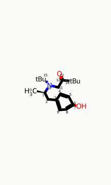 C[C@H](Cc1ccc(O)cc1)N(CC(=O)C(C)(C)C)C(C)(C)C